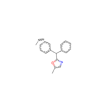 CNC.Cc1cnc(C(c2ccccc2)c2ccccc2)o1